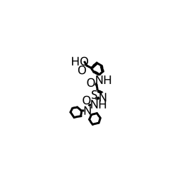 O=C(O)c1cccc(NC(=O)c2cnc(NC(=O)N(C3CCCCC3)C3CCCCC3)s2)c1